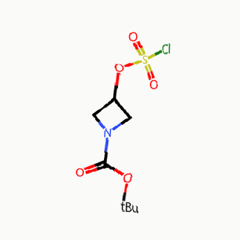 CC(C)(C)OC(=O)N1CC(OS(=O)(=O)Cl)C1